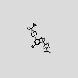 O=C(C1CC1)N1CCN(c2cc(Br)cc3c2cnn3-c2nnc(C(F)F)s2)CC1